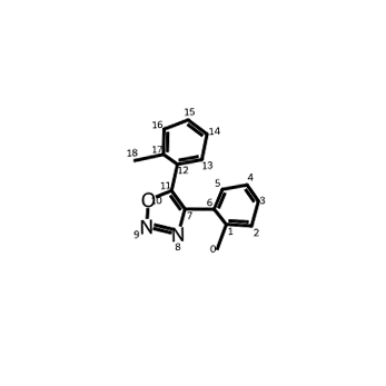 Cc1ccccc1-c1nnoc1-c1ccccc1C